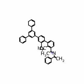 C=C(/N=C(\C)c1cccc(-c2ccc(-c3cc(C4=CC=CCC4)cc(-c4ccccc4)c3)cc2C2CC2)c1C)c1ccccc1